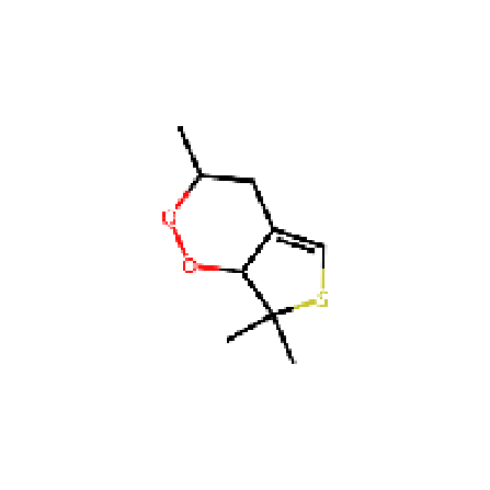 CC1CC2=CSC(C)(C)C2OO1